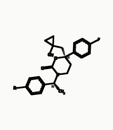 C[C@@H](c1ccc(Br)cc1)N1CC[C@](CC2(O)CC2)(c2ccc(F)cc2)OC1=O